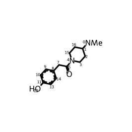 CNC1CCN(C(=O)Cc2ccc(O)cc2)CC1